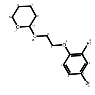 CCc1cc(Br)ccc1OCCOC1CCCCO1